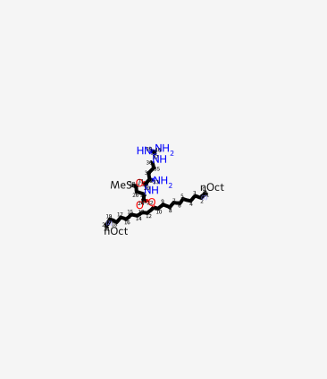 CCCCCCCC/C=C\CCCCCCCCC(CCCCCCC/C=C\CCCCCCCC)OC(=O)C(CCSC)NC(=O)C(N)CCCNC(=N)N